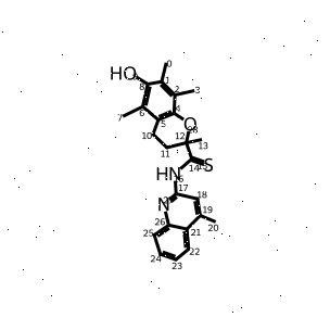 Cc1c(C)c2c(c(C)c1O)CCC(C)(C(=S)Nc1cc(C)c3ccccc3n1)O2